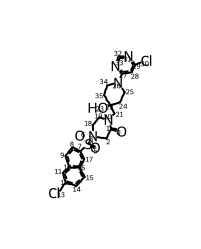 O=C1CN(S(=O)(=O)c2ccc3cc(Cl)ccc3c2)CCN1CC1(O)CCN(c2cc(Cl)ncn2)CC1